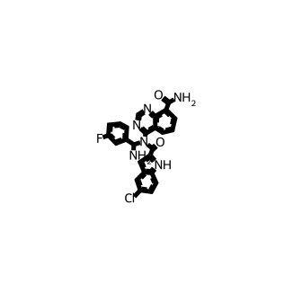 NC(=O)c1cccc2c(N(C(=O)c3cc4cc(Cl)ccc4[nH]3)C(N)c3cccc(F)c3)ncnc12